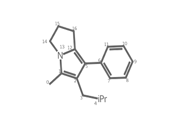 Cc1c(CC(C)C)c(-c2ccccc2)c2n1CCC2